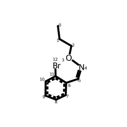 CCCO/N=[C]\c1ccccc1Br